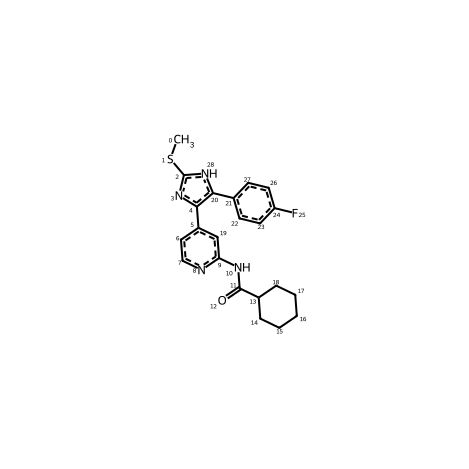 CSc1nc(-c2ccnc(NC(=O)C3CCCCC3)c2)c(-c2ccc(F)cc2)[nH]1